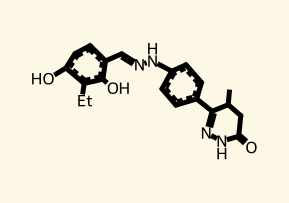 CCc1c(O)ccc(C=NNc2ccc(C3=NNC(=O)CC3C)cc2)c1O